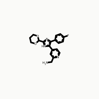 NCc1cc(-c2[nH]c(C3OCCCO3)nc2-c2ccc(F)cc2)ccn1